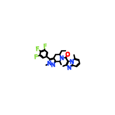 CCC1Cc2c(nn(C)c2-c2cc(F)c(F)c(F)c2)C(C)N1C(=O)c1c(C)nc2cccc(C)n12